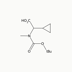 CN(C(=O)OC(C)(C)C)C(C(=O)O)C1CC1